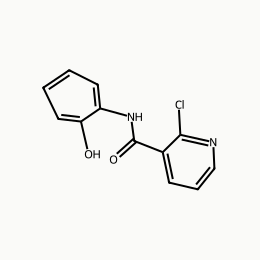 O=C(Nc1ccccc1O)c1cccnc1Cl